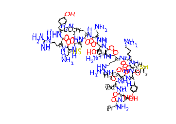 CC[C@H](C)[C@H](NC(=O)[C@@H]1C[C@@H](O)CN1C(=O)[C@@H](N)C(C)C)C(=O)N[C@H](C(=O)N[C@@H](Cc1ccc(O)cc1)C(=O)N[C@H](C(=O)N[C@@H](CCCCN)C(=O)N[C@@H](CCCNC(=N)N)C(=O)N[C@@H](CCN)C(=O)N[C@H](C(=O)N[C@H](CCN)C(=O)N[C@@H](CCCCN)C(=O)N[C@@H](CS)C(=O)N[C@@H](CCN)C(=O)N[C@@H](CCCNC(=N)N)C(=O)N[C@@H](Cc1ccc(O)cc1)C(=O)O)[C@@H](C)O)C(C)(C)S)[C@@H](C)O